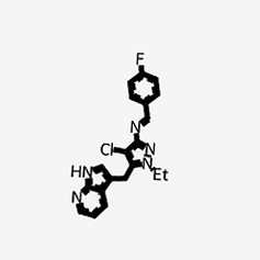 CCn1nc(/N=C/c2ccc(F)cc2)c(Cl)c1Cc1c[nH]c2ncccc12